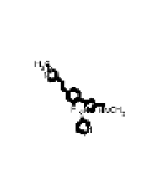 CNCc1cc(-c2ccc(CCc3cnn(C)c3)cc2F)n(Sc2cccnc2)c1